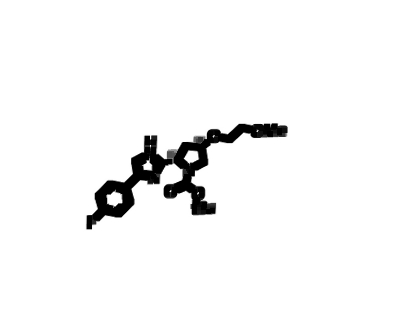 COCCO[C@@H]1C[C@@H](c2nc(-c3ccc(F)cc3)c[nH]2)N(C(=O)OC(C)(C)C)C1